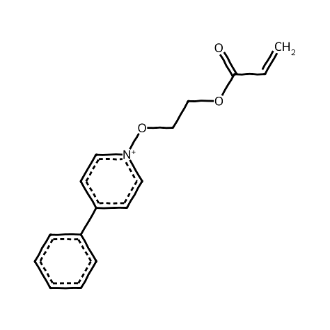 C=CC(=O)OCCO[n+]1ccc(-c2ccccc2)cc1